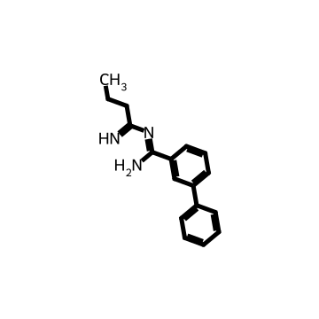 CCCC(=N)/N=C(\N)c1cccc(-c2ccccc2)c1